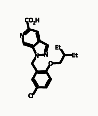 CCC(CC)COc1ccc(Cl)cc1Cn1ncc2cc(C(=O)O)ncc21